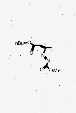 CCCCOC(=O)/C=C(/C)N=NC(=O)OC